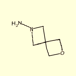 NN1CC2(COC2)C1